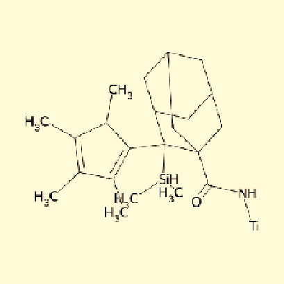 CC1=C(C)C(C)C(C2([SiH](C)C)C3CC4CC(C3)CC2(C(=O)[NH][Ti])C4)=C1C